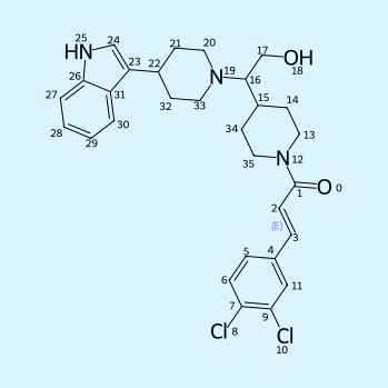 O=C(/C=C/c1ccc(Cl)c(Cl)c1)N1CCC(C(CO)N2CCC(c3c[nH]c4ccccc34)CC2)CC1